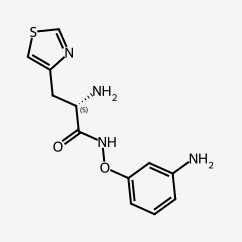 Nc1cccc(ONC(=O)[C@@H](N)Cc2cscn2)c1